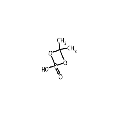 CC1(C)OP(=O)(O)O1